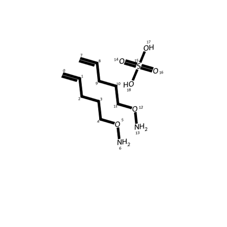 C=CCCCON.C=CCCCON.O=S(=O)(O)O